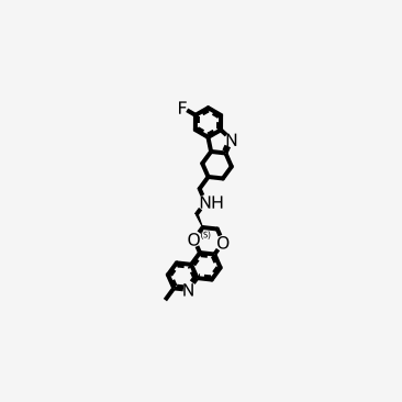 Cc1ccc2c3c(ccc2n1)OC[C@H](CNCC1CCC2=Nc4ccc(F)cc4C2C1)O3